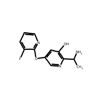 CC(N)c1ncc(Oc2ncccc2F)cc1O